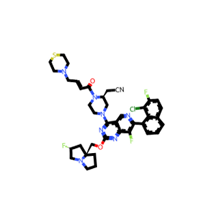 N#CC[C@H]1CN(c2nc(OC[C@@]34CCCN3C[C@H](F)C4)nc3c(F)c(-c4cccc5ccc(F)c(Cl)c45)ncc23)CCN1C(=O)/C=C/CN1CCSCC1